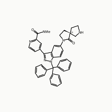 CNC(=O)c1cc(-c2nn(C(c3ccccc3)(c3ccccc3)c3ccccc3)c3ccc(N4CC[C@]5(CCNC5)C4=O)cc23)ccn1